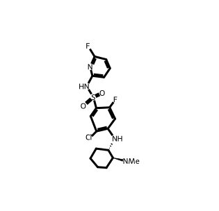 CN[C@H]1CCCC[C@@H]1Nc1cc(F)c(S(=O)(=O)Nc2cccc(F)n2)cc1Cl